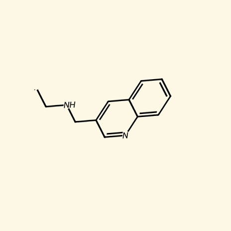 [CH2]CNCc1cnc2ccccc2c1